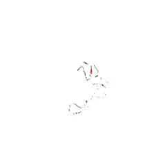 O=C(Nc1cccc(Cl)c1)N1CCCC(C2(Cc3cccc(Cl)c3)C(=O)Nc3cc(Cl)ccc32)C1